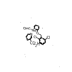 O=C(O)c1cccnc1.O=CNc1ccccc1OCc1c(Cl)cccc1Cl